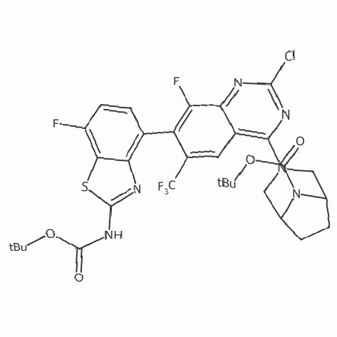 CC(C)(C)OC(=O)Nc1nc2c(-c3c(C(F)(F)F)cc4c(N5CC6CCC(C5)N6C(=O)OC(C)(C)C)nc(Cl)nc4c3F)ccc(F)c2s1